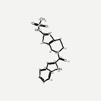 CS(=O)(=O)Nc1nc2c(s1)CN(C(=O)c1cc3ccccc3[nH]1)CC2